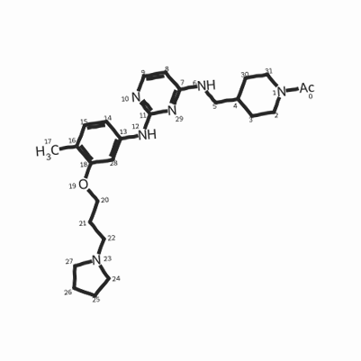 CC(=O)N1CCC(CNc2ccnc(Nc3ccc(C)c(OCCCN4CCCC4)c3)n2)CC1